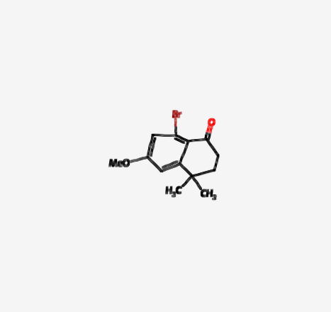 COc1cc(Br)c2c(c1)C(C)(C)CCC2=O